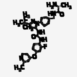 Cc1cc(Oc2ccc(NC(=O)Nc3cc(C(C)(C)C)nn3-c3ccc(CNC(=O)[C@@H](C)N)cc3)c(F)c2)ccn1